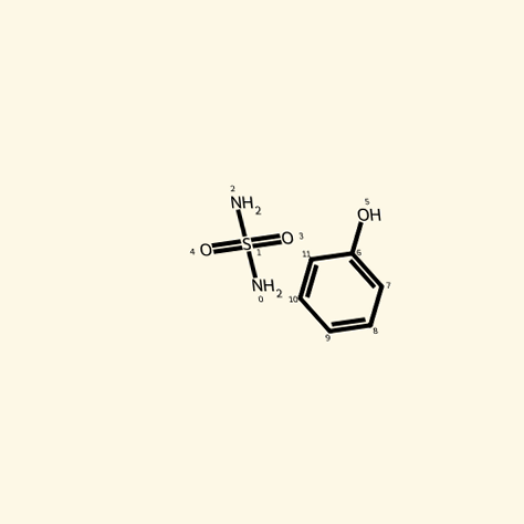 NS(N)(=O)=O.Oc1ccccc1